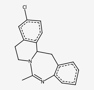 CC1=Nc2ccccc2CC2c3ccc(Cl)cc3CCN12